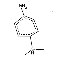 [CH2][SH](C)c1ccc(N)cc1